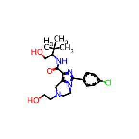 CC(C)(C)C(CO)NC(=O)c1nc(-c2ccc(Cl)cc2)n2c1CN(CCO)CC2